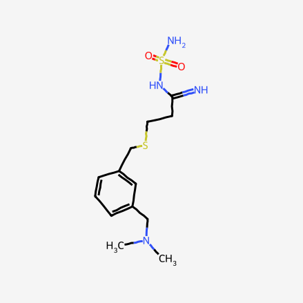 CN(C)Cc1cccc(CSCCC(=N)NS(N)(=O)=O)c1